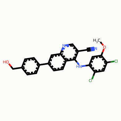 COc1cc(Nc2c(C#N)cnc3cc(-c4ccc(CO)cc4)ccc23)c(Cl)cc1Cl